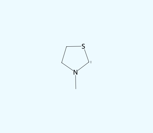 CN1[C]SCC1